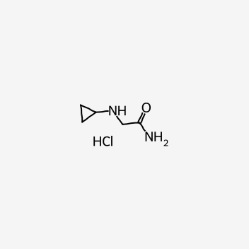 Cl.NC(=O)CNC1CC1